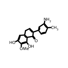 COc1c(O)cc2c(c1O)C(=O)C(c1ccc(C)c(N)c1)=CC2